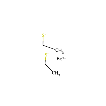 CC[S-].CC[S-].[Be+2]